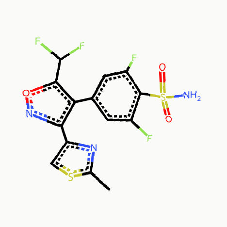 Cc1nc(-c2noc(C(F)F)c2-c2cc(F)c(S(N)(=O)=O)c(F)c2)cs1